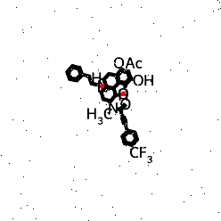 CC(=O)Oc1cc(O)c2c3c1C[C@@H]1[C@@H]4CC[C@@H](N(C)C(=O)C#Cc5ccc(C(F)(F)F)cc5)[C@H](O2)[C@]34CCN1CCc1ccccc1